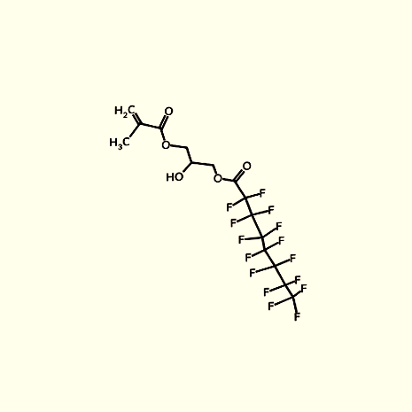 C=C(C)C(=O)OCC(O)COC(=O)C(F)(F)C(F)(F)C(F)(F)C(F)(F)C(F)(F)C(F)(F)C(F)(F)F